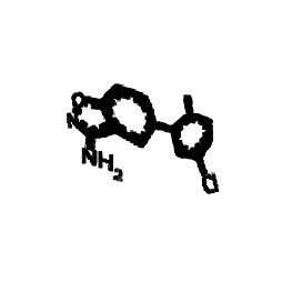 Cc1ccc(Cl)cc1-c1ccc2onc(N)c2c1